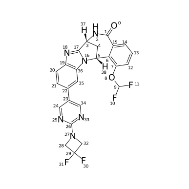 O=C1N[C@@H]2C[C@H](c3c(OC(F)F)cccc31)n1c2nc2ccc(-c3cnc(N4CC(F)(F)C4)nc3)cc21